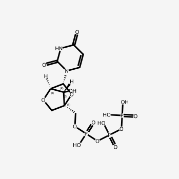 O=c1ccn([C@@H]2O[C@@]3(COP(=O)(O)OP(=O)(O)OP(=O)(O)O)CO[C@@H]2[C@@H]3O)c(=O)[nH]1